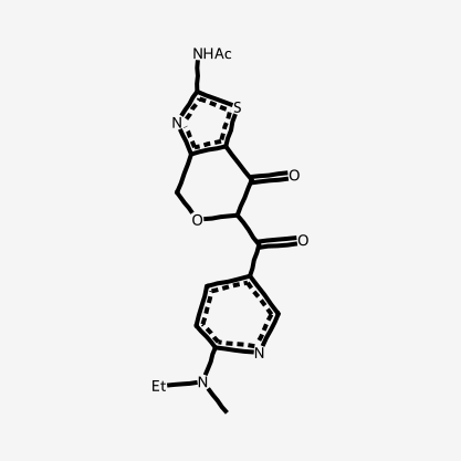 CCN(C)c1ccc(C(=O)C2OCc3nc(NC(C)=O)sc3C2=O)cn1